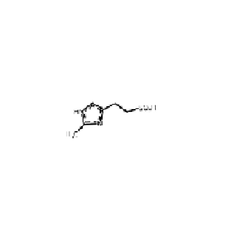 Cc1nc(CCS(=O)(=O)O)c[nH]1